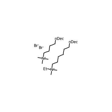 CCCCCCCCCCCCCCCC[N+](C)(C)CC.CCCCCCCCCCCCCC[N+](C)(C)C.[Br-].[Br-]